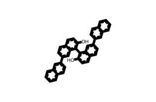 Oc1ccc2ccc(-c3ccc4ccccc4c3)cc2c1-c1c(O)ccc2ccc(-c3ccc4ccccc4c3)cc12